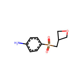 Nc1ccc(S(=O)(=O)CC2COC2)cc1